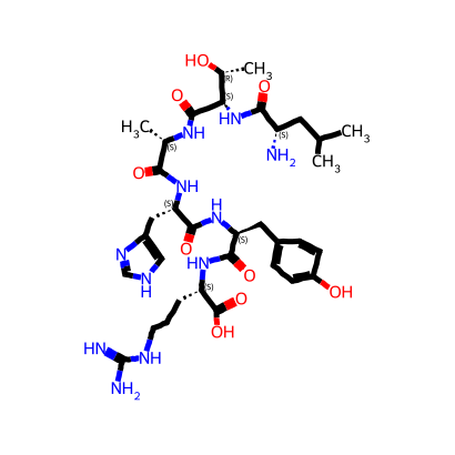 CC(C)C[C@H](N)C(=O)N[C@H](C(=O)N[C@@H](C)C(=O)N[C@@H](Cc1c[nH]cn1)C(=O)N[C@@H](Cc1ccc(O)cc1)C(=O)N[C@@H](CCCNC(=N)N)C(=O)O)[C@@H](C)O